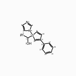 CC(C)C(O)S1(n2ccnc2)C=CC(c2ccccc2)=C1